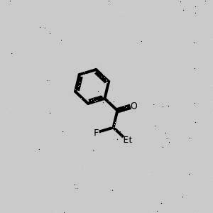 CCC(F)C(=O)c1ccccc1